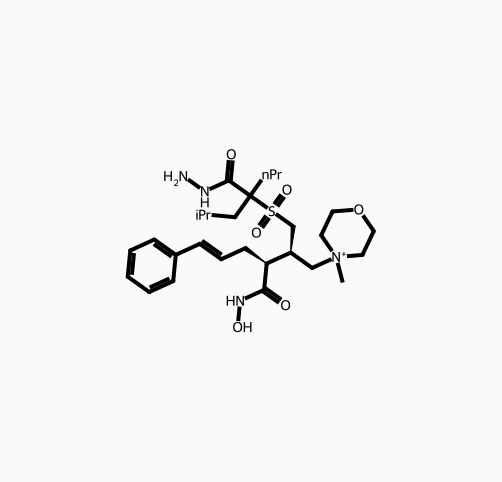 CCCC(CC(C)C)(C(=O)NN)S(=O)(=O)C[C@@H](C[N+]1(C)CCOCC1)[C@H](C/C=C/c1ccccc1)C(=O)NO